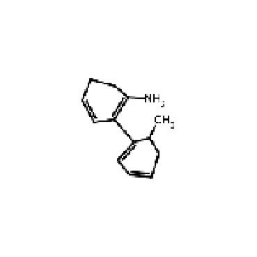 CC1CC=CC=C1C1=C(N)CCC=C1